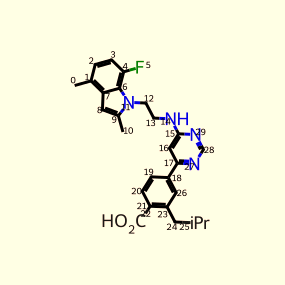 Cc1ccc(F)c2c1cc(C)n2CCNc1cc(-c2ccc(C(=O)O)c(CC(C)C)c2)ncn1